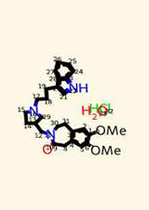 COc1cc2c(cc1OC)CC(=O)N(CC1CCN(CCCc3c[nH]c4ccccc34)C1)CC2.Cl.O